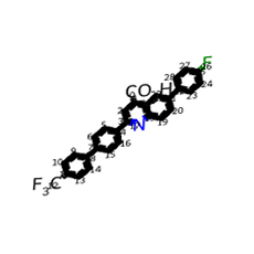 O=C(O)c1cc(-c2ccc(-c3ccc(C(F)(F)F)cc3)cc2)nc2ccc(-c3ccc(F)cc3)cc12